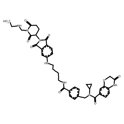 O=C(O)CNCN1C(=O)CCC(N2C(=O)c3ccc(NCCCCNC(=O)c4ccc(CN(C(=O)c5ccc6c(c5)OCC(=O)N6)C5CC5)cc4)cc3C2=O)C1=O